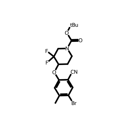 Cc1cc(OC2CCN(C(=O)OC(C)(C)C)CC2(F)F)c(C#N)cc1Br